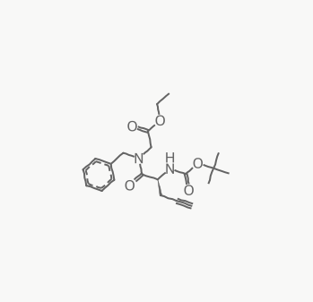 C#CC[C@H](NC(=O)OC(C)(C)C)C(=O)N(CC(=O)OCC)Cc1ccccc1